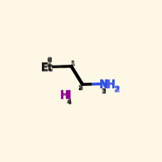 CCCCN.I